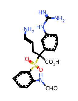 N=C(N)Nc1cccc(C(CC=CN)(C(=O)O)S(=O)(=O)c2ccccc2NC=O)c1